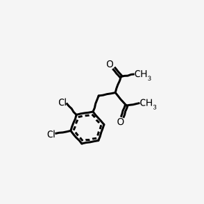 CC(=O)C(Cc1cccc(Cl)c1Cl)C(C)=O